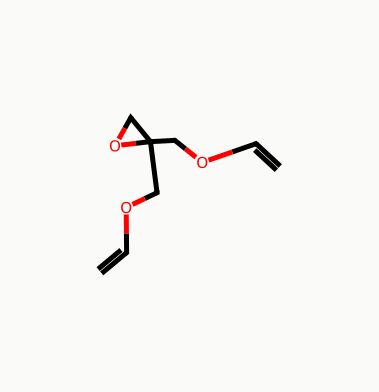 C=COCC1(COC=C)CO1